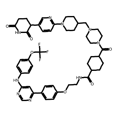 O=C1CCC(c2ccc(N3CCC(CN4CCN(C(=O)C5CCC(C(=O)NCCOc6ccc(-c7cc(Nc8ccc(OC(F)(F)F)cc8)ncn7)cc6)CC5)CC4)CC3)nc2)C(=O)N1